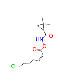 CC1(C)C[C@@H]1C(=O)NOC(=O)/C=C\CCCCCl